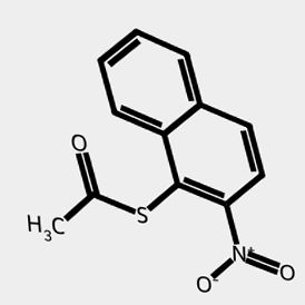 CC(=O)Sc1c([N+](=O)[O-])ccc2ccccc12